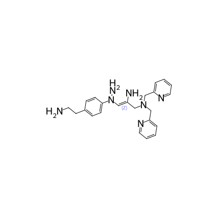 NCCc1ccc(N(N)/C=C(\N)CN(Cc2ccccn2)Cc2ccccn2)cc1